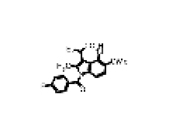 CCC(C(=O)O)c1c(C)n(C(=O)c2ccc(F)cc2)c2ccc(OC)c(Cl)c12